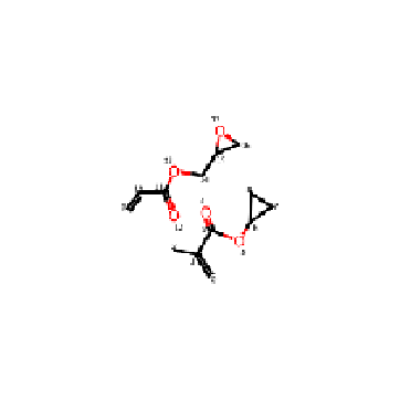 C=C(C)C(=O)OC1CC1.C=CC(=O)OCC1CO1